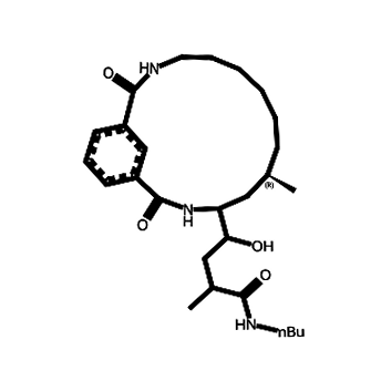 CCCCNC(=O)C(C)CC(O)C1C[C@H](C)CCCCCCNC(=O)c2cccc(c2)C(=O)N1